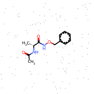 CC(=O)N[C@H](C)C(=O)NOCc1ccccc1